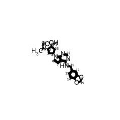 CN([C@H]1C[C@@H](n2ccc3c(NCc4ccc5c(c4)OCO5)ncnc32)C[C@@H]1O)S(=O)(=O)O